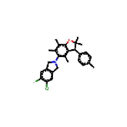 Cc1ccc(C2c3c(C)c(N4Cc5cc(Cl)c(Cl)cc5C4)c(C)c(C)c3OC2(C)C)cc1